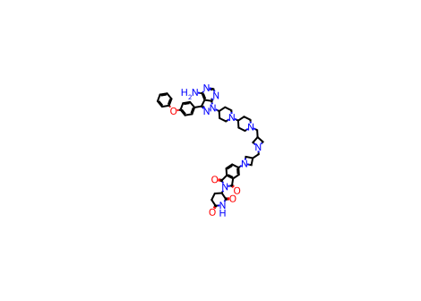 Nc1ncnc2c1c(-c1ccc(Oc3ccccc3)cc1)nn2C1CCN(C2CCN(CC3CN(CC4CN(c5ccc6c(c5)C(=O)N(C5CCC(=O)NC5=O)C6=O)C4)C3)CC2)CC1